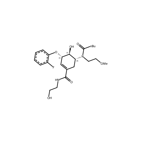 CCCCC(=O)N(CCOC)[C@@H]1CC(C(=O)NCCO)=C[C@H](Oc2ccccc2F)[C@H]1O